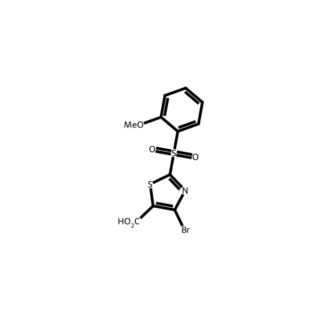 COc1ccccc1S(=O)(=O)c1nc(Br)c(C(=O)O)s1